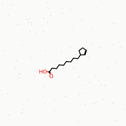 O=C(O)CCCCCCCCC1C=CCC1